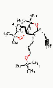 C#CC[C@@H](O[Si](C)(C)C(C)(C)C)[C@H](CCCO[Si](C)(C)C(C)(C)C)[C@@H](C=C)O[Si](C)(C)C(C)(C)C